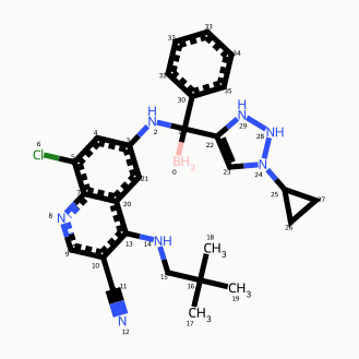 BC(Nc1cc(Cl)c2ncc(C#N)c(NCC(C)(C)C)c2c1)(C1=CN(C2CC2)NN1)c1ccccc1